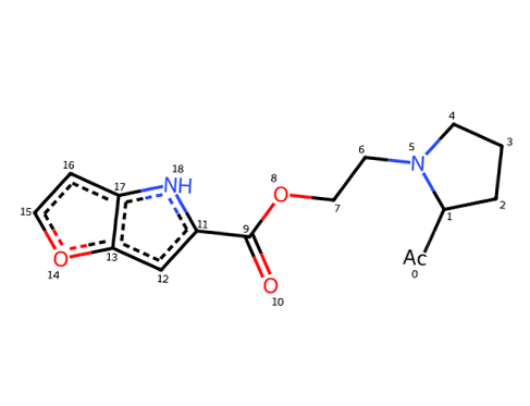 CC(=O)C1CCCN1CCOC(=O)c1cc2occc2[nH]1